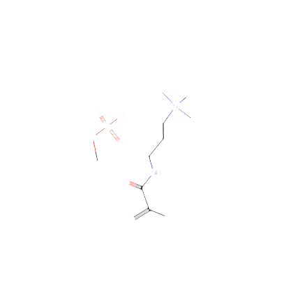 C=C(C)C(=O)NCCC[N+](C)(C)C.COS(=O)(=O)[O-]